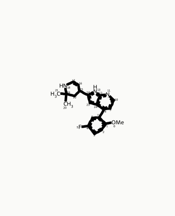 COc1ccc(F)cc1-c1ccnc2[nH]c(C3C=CNC(C)(C)C3)cc12